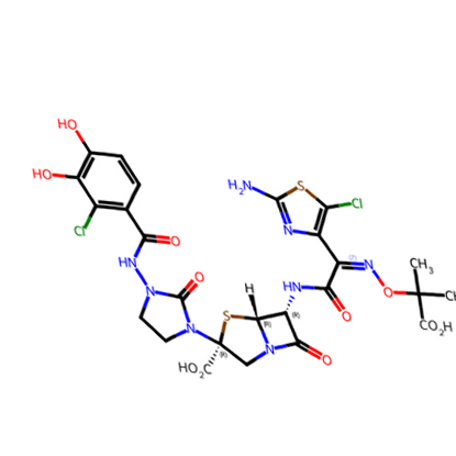 CC(C)(O/N=C(\C(=O)N[C@@H]1C(=O)N2C[C@@](C(=O)O)(N3CCN(NC(=O)c4ccc(O)c(O)c4Cl)C3=O)S[C@H]12)c1nc(N)sc1Cl)C(=O)O